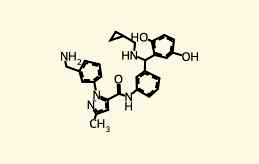 Cc1cc(C(=O)Nc2cccc(C(NCC3CC3)c3cc(O)ccc3O)c2)n(-c2cccc(CN)c2)n1